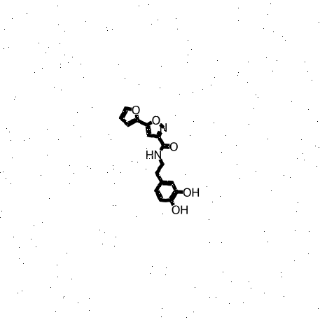 O=C(NCCc1ccc(O)c(O)c1)c1cc(-c2ccco2)on1